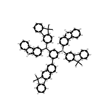 CC1(C)c2ccccc2-c2cc(C(c3cc(-c4ccc5cc6c(cc5c4)C(C)(C)c4ccccc4-6)cc(N(c4ccc5c(c4)-c4ccccc4C5(C)C)c4ccc5sc6ccccc6c5c4)c3)c3ccc4sc5ccccc5c4c3)ccc21